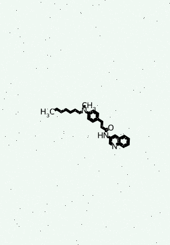 CCCCCCCN(C)c1ccc(CCC(=O)Nc2cnc3ccccc3c2)cc1